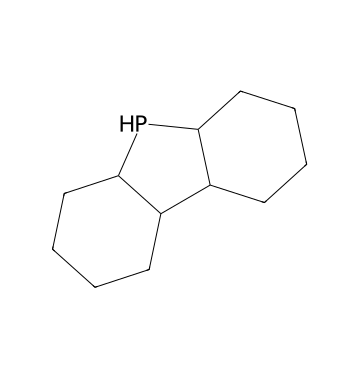 C1CCC2C(C1)PC1CCCCC12